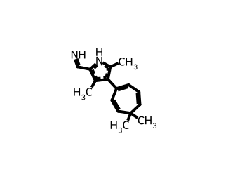 Cc1[nH]c(C=N)c(C)c1C1=CC=CC(C)(C)C=C1